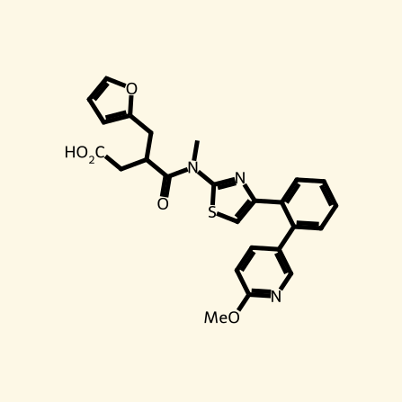 COc1ccc(-c2ccccc2-c2csc(N(C)C(=O)C(CC(=O)O)Cc3ccco3)n2)cn1